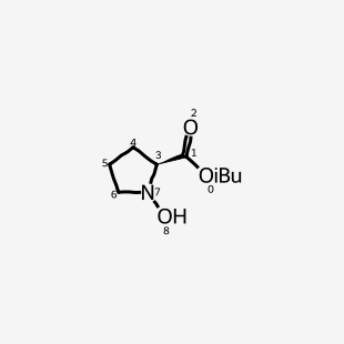 CC(C)COC(=O)[C@@H]1CCCN1O